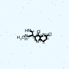 CN/C=C(\C=N)c1cnc2ccc(Cl)nc2c1Cl